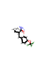 CCC(Cc1ccc(OC(F)(F)F)cc1)C(N)=O